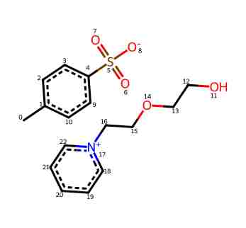 Cc1ccc(S(=O)(=O)[O-])cc1.OCCOCC[n+]1ccccc1